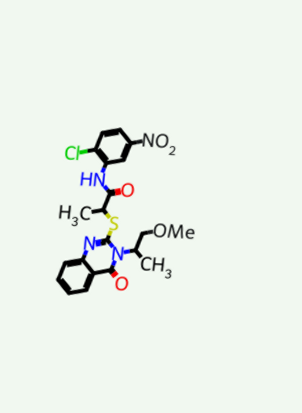 COCC(C)n1c(SC(C)C(=O)Nc2cc([N+](=O)[O-])ccc2Cl)nc2ccccc2c1=O